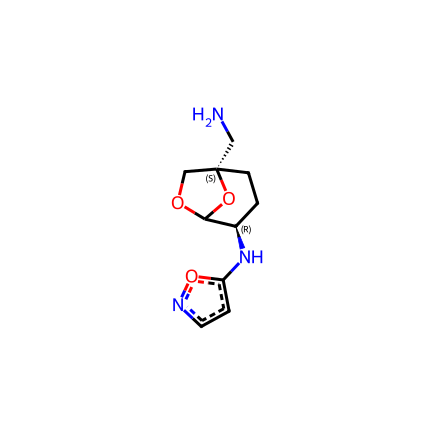 NC[C@@]12CC[C@@H](Nc3ccno3)C(OC1)O2